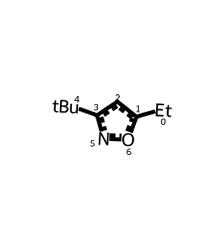 CCc1cc(C(C)(C)C)no1